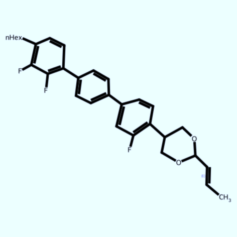 C/C=C/C1OCC(c2ccc(-c3ccc(-c4ccc(CCCCCC)c(F)c4F)cc3)cc2F)CO1